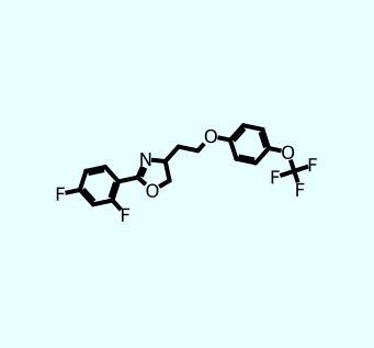 Fc1ccc(C2=NC(CCOc3ccc(OC(F)(F)F)cc3)CO2)c(F)c1